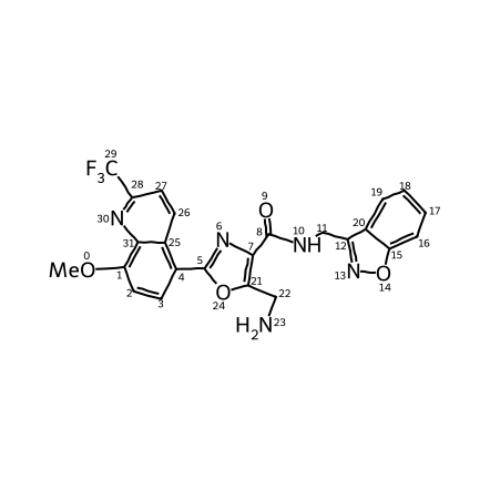 COc1ccc(-c2nc(C(=O)NCc3noc4ccccc34)c(CN)o2)c2ccc(C(F)(F)F)nc12